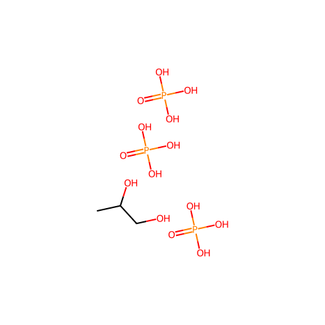 CC(O)CO.O=P(O)(O)O.O=P(O)(O)O.O=P(O)(O)O